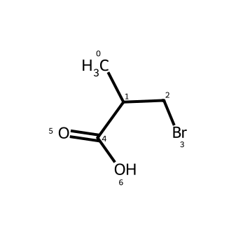 CC(CBr)C(=O)O